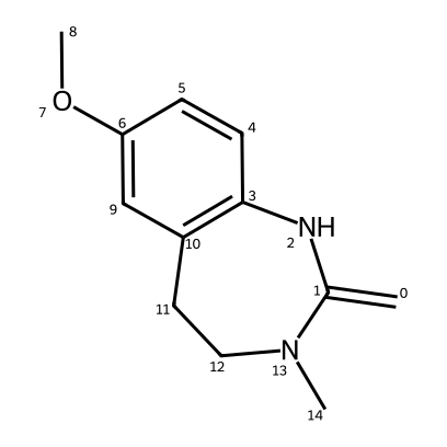 C=C1Nc2ccc(OC)cc2CCN1C